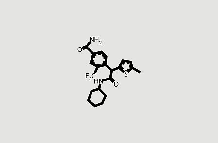 Cc1ccc(C(C(=O)NC2CCCCC2)c2ccc(C(N)=O)cc2C(F)(F)F)s1